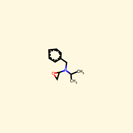 CC(C)N(Cc1ccccc1)C1CO1